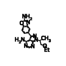 CCOCC(C)n1nc(-c2ccc3oc(N)nc3c2)c2c(N)ncnc21